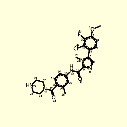 COc1ccc(-c2cnc(C(=O)Nc3ccc(C(=O)N4CCNCC4)c(C)c3)n2C)c(Cl)c1F